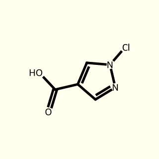 O=C(O)c1cnn(Cl)c1